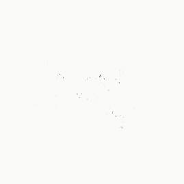 O=CNC[C](=[Mo]=[C](CNC=O)C(NC=O)(C1=CC=CC1)C1c2ccccc2-c2ccccc21)C(NC=O)(C1=CC=CC1)C1c2ccccc2-c2ccccc21